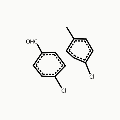 Cc1ccc(Cl)cc1.O=Cc1ccc(Cl)cc1